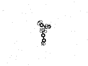 O=C(N[C@H](CN1CCCC1)[C@H](O)c1ccc2c(c1)OCCO2)C(=O)c1ccc(-c2ccc3oncc3c2)cc1